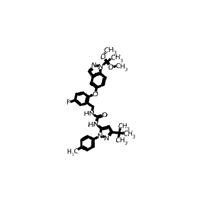 COC(C)(OC)n1ncc2cc(Oc3ccc(F)cc3CNC(=O)Nc3cc(C(C)(C)C)nn3-c3ccc(C)cc3)ccc21